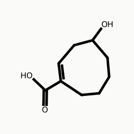 O=C(O)C1=CCC(O)CCCC1